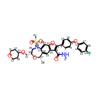 CNC(=O)c1c(-c2ccc(Oc3ccc(F)cc3)cc2)oc2cc3c(cc12)[C@H](C)O[C@H](COC1CCOCC1)CN3S(C)(=O)=O